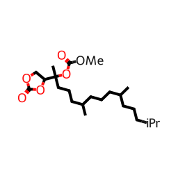 COC(=O)OC(C)(CCCC(C)CCCC(C)CCCC(C)C)C1COC(=O)O1